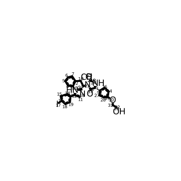 C[C@@H](c1ccccc1)[C@@H](c1ncc(-c2ccc(I)cc2)[nH]1)N1C(=O)N[C@H](c2ccc(OCCO)cc2)C1=O